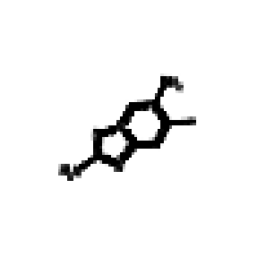 Cc1cc2nc(N)nn2cc1N